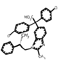 Cc1nc2ccc(C(C(=O)O)(c3ccc(Cl)cc3)c3ccc(Cl)cc3)cc2n1C[C@@H](C)c1ccccc1